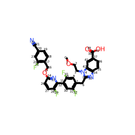 COCCn1c(Cc2cc(F)c(-c3nc(OCc4ccc(C#N)cc4F)ccc3F)cc2F)nc2ccc(C(=O)O)cc21